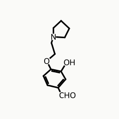 O=Cc1ccc(OCCN2CCCC2)c(O)c1